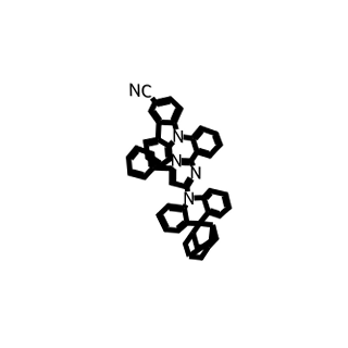 N#Cc1ccc2c(c1)c1ccccc1n2-c1ccccc1-c1nc(-c2ccccc2)cc(N2c3ccccc3C3(c4ccccc42)C2CC4CC(C2)CC3C4)n1